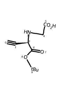 C#C[C@@H](NCC(=O)O)C(=O)OC(C)(C)C